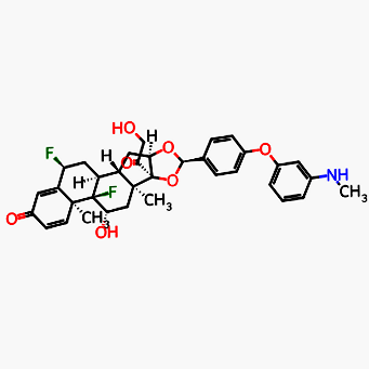 CNc1cccc(Oc2ccc([C@@H]3O[C@@H]4C[C@H]5[C@@H]6C[C@H](F)C7=CC(=O)C=C[C@]7(C)[C@@]6(F)[C@@H](O)C[C@]5(C)[C@]4(C(=O)CO)O3)cc2)c1